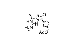 CC(=O)OC[C@@H]1CC[C@H](n2c(=O)sc3c(=S)[nH]c(N)nc32)O1